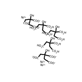 O=C(O)CC(O)(CC(=O)O)C(=O)O.O=C(O)CC(O)(CC(=O)O)C(=O)O.O=C(O)CC(O)(CC(=O)O)C(=O)O.O=C([O-])CC(O)(CC(=O)[O-])C(=O)[O-].O=C([O-])CC(O)(CC(=O)[O-])C(=O)[O-].[Ni+2].[Ni+2].[Ni+2]